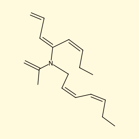 C=C/C=C(\C=C/CC)N(C/C=C\C=C/CC)C(=C)C